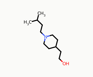 CC(C)CCN1CCC(CCO)CC1